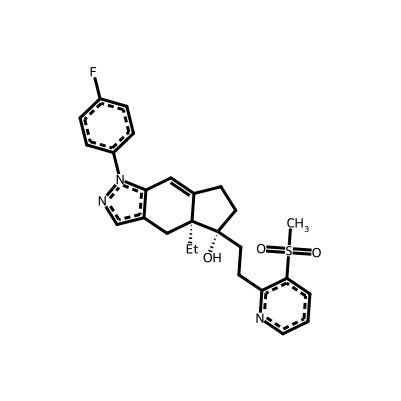 CC[C@]12Cc3cnn(-c4ccc(F)cc4)c3C=C1CC[C@@]2(O)CCc1ncccc1S(C)(=O)=O